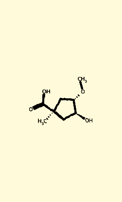 CO[C@H]1C[C@](C)(C(=O)O)C[C@@H]1O